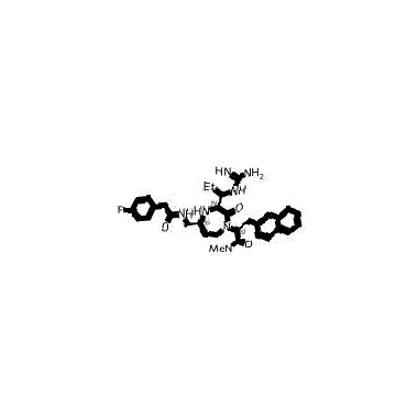 CCC(NC(=N)N)[C@@H]1N[C@H](CNC(=O)Cc2ccc(F)cc2)CCN([C@@H](Cc2ccc3ccccc3c2)C(=O)NC)C1=O